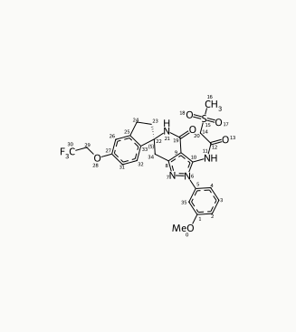 COc1cccc(-n2nc3c(c2NC(=O)CS(C)(=O)=O)C(=O)N[C@@]2(CCc4cc(OCC(F)(F)F)ccc42)C3)c1